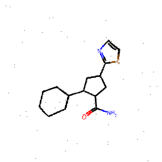 NC(=O)C1CC(c2nccs2)CC1C1CCCCC1